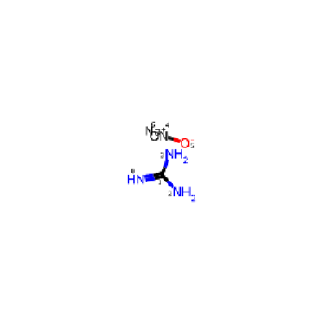 N=C(N)N.O=N[O-].[Na+]